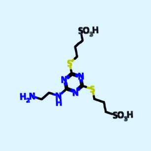 NCCNc1nc(SCCCS(=O)(=O)O)nc(SCCCS(=O)(=O)O)n1